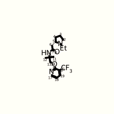 CCN1CCC[C@H]1CC(=O)NC(C)(C)COc1ncccc1C(F)(F)F